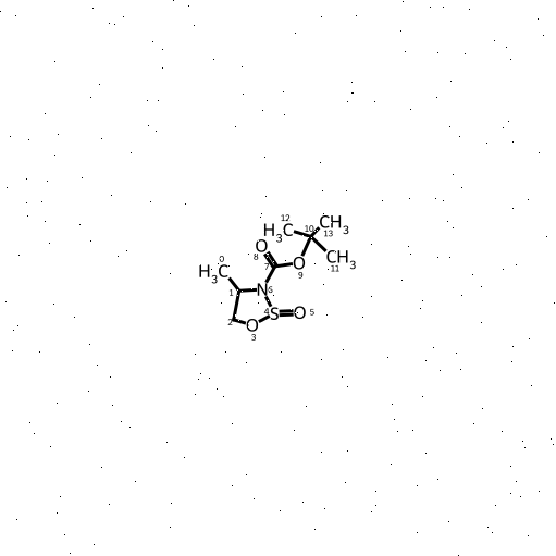 CC1COS(=O)N1C(=O)OC(C)(C)C